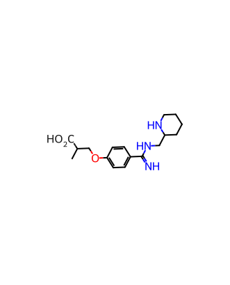 CC(COc1ccc(C(=N)NCC2CCCCN2)cc1)C(=O)O